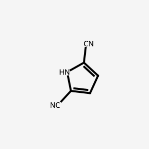 N#Cc1ccc(C#N)[nH]1